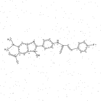 CN(C)c1cc2nc(-c3ccc(NC(=O)/C=C/c4ccc(F)cc4)cc3)n(O)c2cc1[N+](=O)[O-]